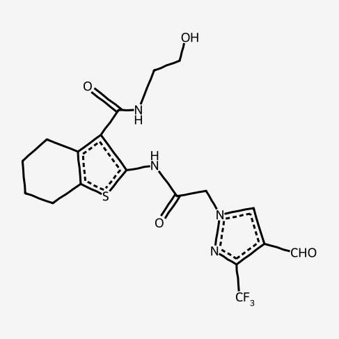 O=Cc1cn(CC(=O)Nc2sc3c(c2C(=O)NCCO)CCCC3)nc1C(F)(F)F